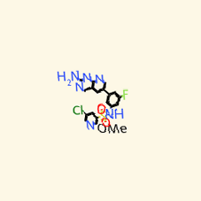 COc1ncc(Cl)cc1S(=O)(=O)Nc1cc(F)cc(-c2cnc3nc(N)ncc3c2)c1